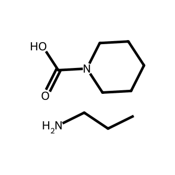 CCCN.O=C(O)N1CCCCC1